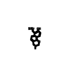 CNCc1c(O)ccc2c3c(ccc12)CN(C)CO3